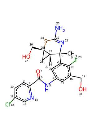 C[C@]1(c2cc(NC(=O)c3ccc(Cl)cn3)cc(CO)c2F)N=C(N)S[C@@]2(CO)C[C@H]21